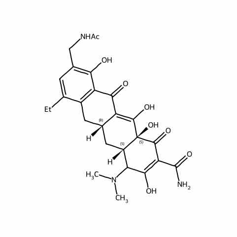 CCc1cc(CNC(C)=O)c(O)c2c1C[C@H]1C[C@H]3C(N(C)C)C(O)=C(C(N)=O)C(=O)[C@@]3(O)C(O)=C1C2=O